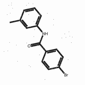 Cc1cccc(NC(=O)c2ccc(Br)cc2)c1